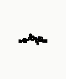 COc1cc(/C=C2\SC(=S)N(CC(=O)O)C2=O)ccc1OCc1ccc(Br)cc1